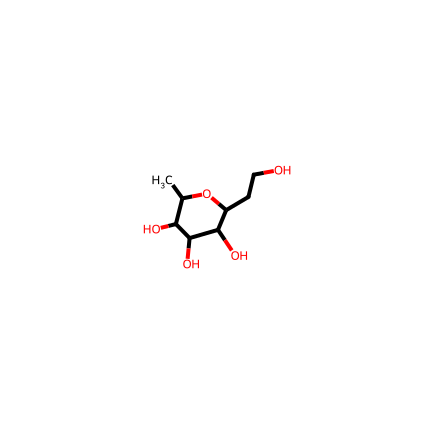 CC1OC(CCO)C(O)C(O)C1O